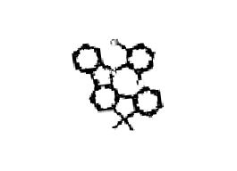 CC1(C)c2ccccc2-c2c1ccc1c3ccccc3n(-c3c(Cl)cccc3Cl)c21